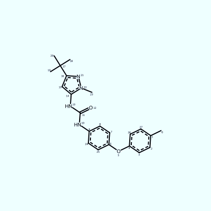 Cc1ccc(Oc2ccc(NC(=O)Nc3cc(C(C)(C)C)nn3C)cc2)cc1